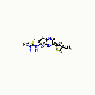 CCNC(=S)Nc1ccc2ncc(-c3cc(C)cs3)nc2n1